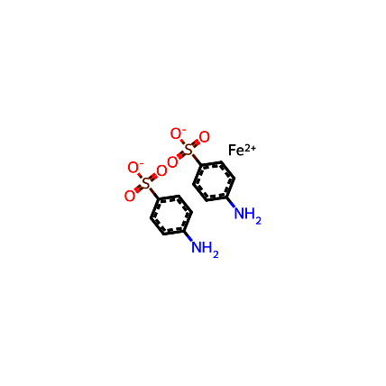 Nc1ccc(S(=O)(=O)[O-])cc1.Nc1ccc(S(=O)(=O)[O-])cc1.[Fe+2]